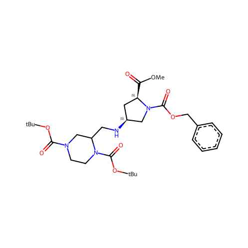 COC(=O)[C@@H]1C[C@H](NCC2CN(C(=O)OC(C)(C)C)CCN2C(=O)OC(C)(C)C)CN1C(=O)OCc1ccccc1